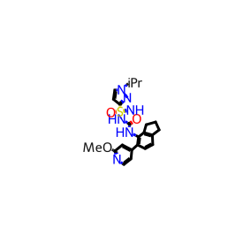 COc1cc(-c2ccc3c(c2NC(=O)N[S@](=N)(=O)c2ccn(C(C)C)n2)CCC3)ccn1